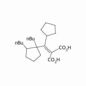 CCCCC1CCCC1(CCCC)C(=C(C(=O)O)C(=O)O)C1CCCC1